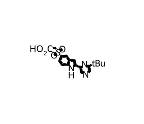 CC(C)(C)c1cncc(-c2cc3cc(S(=O)(=O)CC(=O)O)ccc3[nH]2)n1